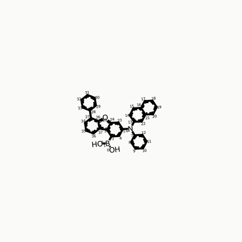 OB(O)c1cc(N(c2ccccc2)c2ccc3ccccc3c2)cc2oc3c(-c4ccccc4)cccc3c12